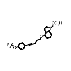 O=C(O)Cn1ccc2c(OCCCC#Cc3ccc(OC(F)(F)F)cc3)cccc21